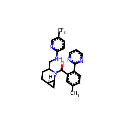 Cc1ccc(-c2ncccn2)c(C(=O)N2C3C[C@H]3CC[C@H]2CNc2ccc(C(F)(F)F)cn2)c1